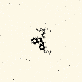 CN(C)CCNc1nc2ccncc2n2c1cc1cc(C(=O)O)ccc12